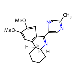 COc1cc2c(cc1OC)[C@@H]1CCCC[C@@H]1N=C2c1cnc(C)cn1